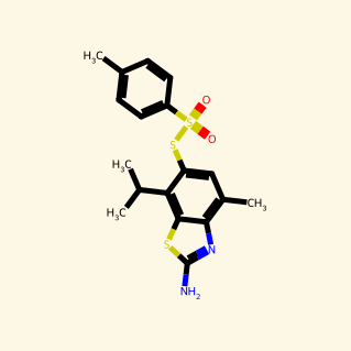 Cc1ccc(S(=O)(=O)Sc2cc(C)c3nc(N)sc3c2C(C)C)cc1